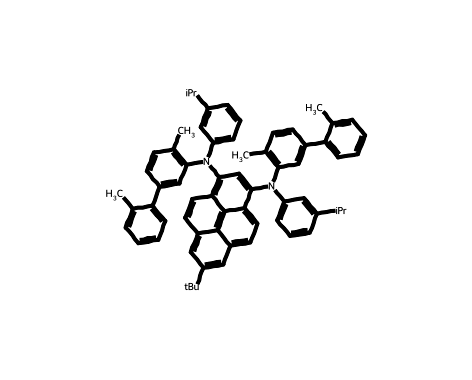 Cc1ccccc1-c1ccc(C)c(N(c2cccc(C(C)C)c2)c2cc(N(c3cccc(C(C)C)c3)c3cc(-c4ccccc4C)ccc3C)c3ccc4cc(C(C)(C)C)cc5ccc2c3c54)c1